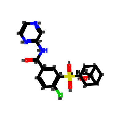 CC1(O)C2CC1CC(S(=O)(=O)c1cc(C(=O)Nc3cnccn3)ccc1Cl)C2